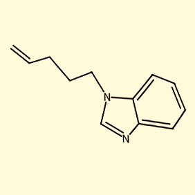 C=CCCCn1cnc2ccccc21